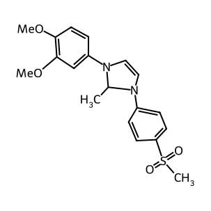 COc1ccc(N2C=CN(c3ccc(S(C)(=O)=O)cc3)C2C)cc1OC